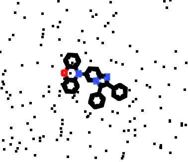 c1ccc(-c2nc3ccc(N4c5ccccc5Oc5ccccc54)cn3c2-c2ccccc2)cc1